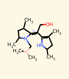 CB(C)CN1/C(=C(/CO)C2=C(C)CC(C)N2)C(C)CC1C